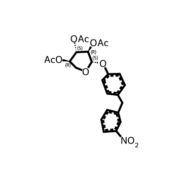 CC(=O)O[C@@H]1[C@@H](OC(C)=O)[C@H](Oc2ccc(Cc3cccc([N+](=O)[O-])c3)cc2)OC[C@H]1OC(C)=O